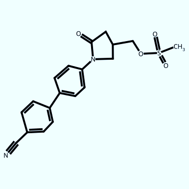 CS(=O)(=O)OCC1CC(=O)N(c2ccc(-c3ccc(C#N)cc3)cc2)C1